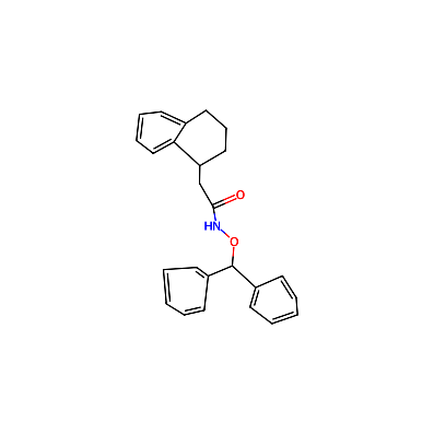 O=C(CC1CCCc2ccccc21)NOC(c1ccccc1)c1ccccc1